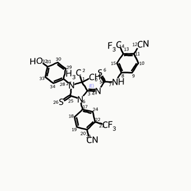 CC1(C)/C(=N\C(=S)Nc2ccc(C#N)c(C(F)(F)F)c2)N(c2ccc(C#N)c(C(F)(F)F)c2)C(=S)N1c1ccc(O)cc1